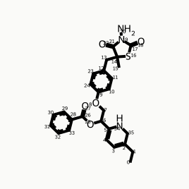 CCC1=CC=C(C(COc2ccc(CC3(C)SC(=O)N(N)C3=O)cc2)OC(=O)c2ccccc2)NC1